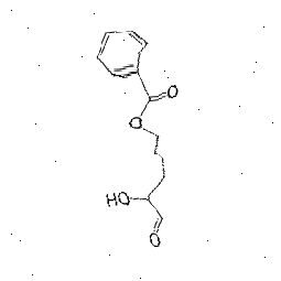 O=CC(O)CCCOC(=O)c1ccccc1